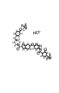 Cl.Cn1c(C(=O)N2CCN(Cc3ccc(OCC(F)(F)F)cc3)CC2)cc2ccc(Oc3ccc(NC(=O)c4ccc(C(F)(F)F)cc4Cl)cn3)cc21